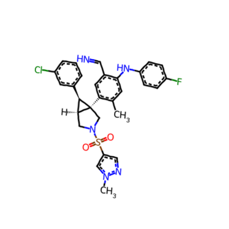 Cc1cc(Nc2ccc(F)cc2)c(C=N)cc1[C@]12CN(S(=O)(=O)c3cnn(C)c3)C[C@H]1[C@H]2c1cccc(Cl)c1